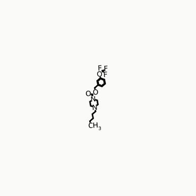 CCCCCN1CCN(C(=O)OCc2cccc(OC(F)(F)F)c2)CC1